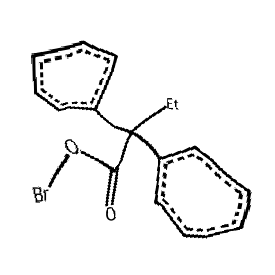 CCC(C(=O)OBr)(c1ccccc1)c1ccccc1